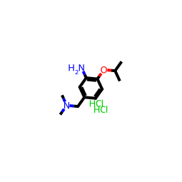 CC(C)Oc1ccc(CN(C)C)cc1N.Cl.Cl